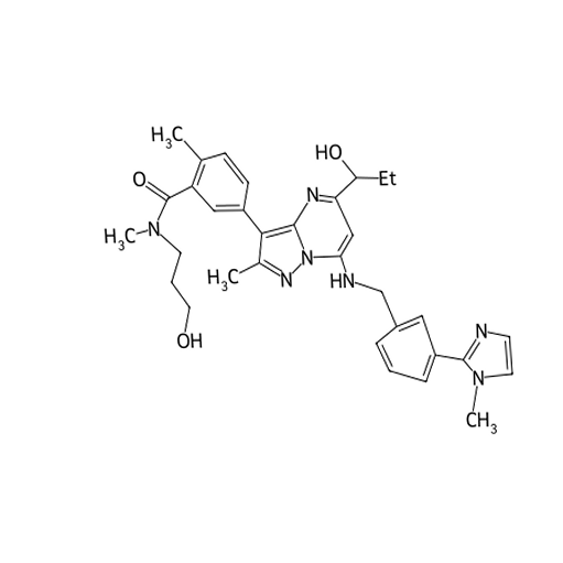 CCC(O)c1cc(NCc2cccc(-c3nccn3C)c2)n2nc(C)c(-c3ccc(C)c(C(=O)N(C)CCCO)c3)c2n1